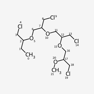 CCC(CCl)OCC(CCl)OCC(CCl)OCC(CCl)OC